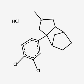 CN1CC2C3CCC(C3)C2(c2ccc(Cl)c(Cl)c2)C1.Cl